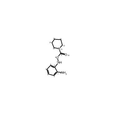 Nc1ccccc1NOC(=O)N1CCCCC1